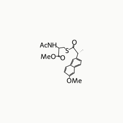 COC(=O)C(CSC(=O)[C@H](C)c1ccc2cc(OC)ccc2c1)NC(C)=O